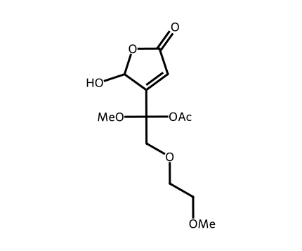 COCCOCC(OC)(OC(C)=O)C1=CC(=O)OC1O